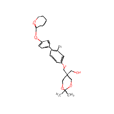 CCc1cc(OCC2(CO)COC(C)(C)OC2)ccc1-c1ccc(OC2CCCCO2)cc1